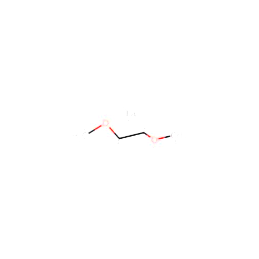 COCCOC.[La]